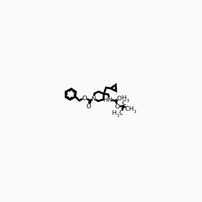 CC(C)(C)OC(=O)NCC1(CC2CC2)CCN(C(=O)OCc2ccccc2)CC1